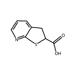 O=C(O)C1Cc2cccnc2S1